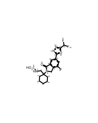 O=C(O)NCC1(N2Cc3c(F)cc(-c4nnc(C(F)F)o4)cc3C2=O)CCCCC1